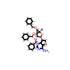 Nc1ncnc2c([C@@H]3O[C@@H]4C(OCc5ccccc5)[C@]4(OCc4ccccc4)[C@H]3OCc3ccccc3)csc12